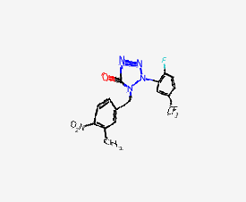 Cc1cc(Cn2c(=O)nnn2-c2cc(C(F)(F)F)ccc2F)ccc1[N+](=O)[O-]